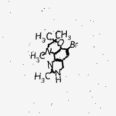 CC1=Nc2c(cc(Br)c3c2N(C)CC(C)(C)O3)CN1